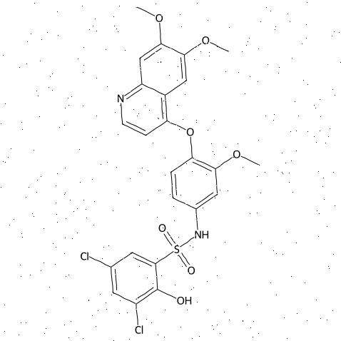 COc1cc2nccc(Oc3ccc(NS(=O)(=O)c4cc(Cl)cc(Cl)c4O)cc3OC)c2cc1OC